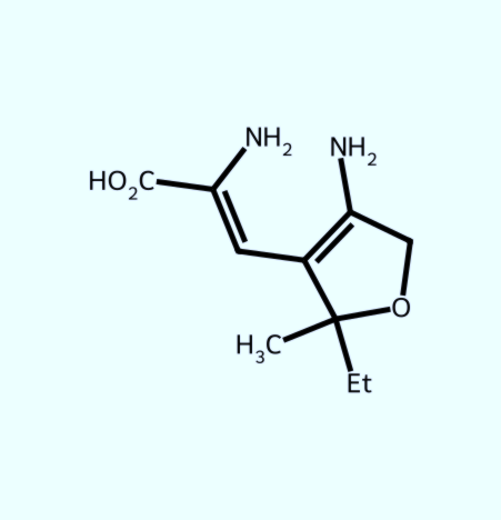 CCC1(C)OCC(N)=C1/C=C(\N)C(=O)O